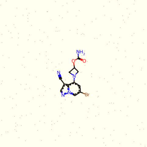 N#Cc1cnn2cc(Br)cc(N3CC(OC(N)=O)C3)c12